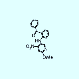 COc1cc([N+](=O)[O-])c(Nc2ccccc2C(=O)c2ccccc2)cn1